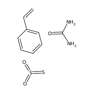 C=Cc1ccccc1.NC(N)=O.O=S(=O)=S